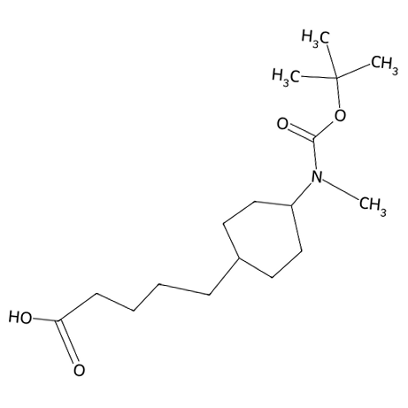 CN(C(=O)OC(C)(C)C)C1CCC(CCCCC(=O)O)CC1